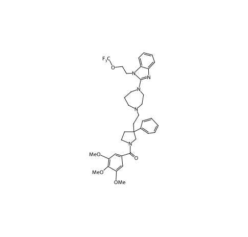 COc1cc(C(=O)N2CCC(CCN3CCCN(c4nc5ccccc5n4CCOC(F)(F)F)CC3)(c3ccccc3)C2)cc(OC)c1OC